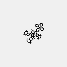 Cc1cc2c3c(c1)N(c1ccc4c(c1)C(C)(C)CCC4(C)C)c1c(sc4cc5c(cc14)C(C)(C)CCC5(C)C)B3c1cc3c(cc1N2c1ccc([Si](c2ccccc2)(c2ccccc2)c2ccccc2)cc1)C(C)(C)CCC3(C)C